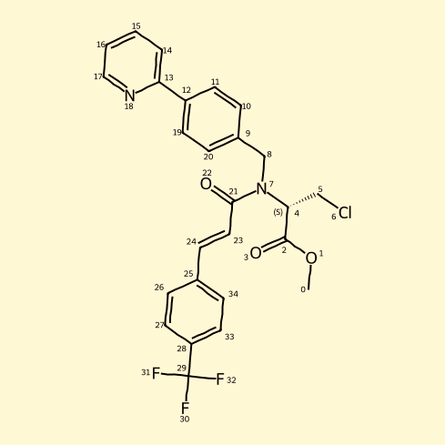 COC(=O)[C@@H](CCl)N(Cc1ccc(-c2ccccn2)cc1)C(=O)C=Cc1ccc(C(F)(F)F)cc1